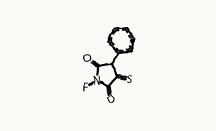 O=C1C(=S)C(c2ccccc2)C(=O)N1F